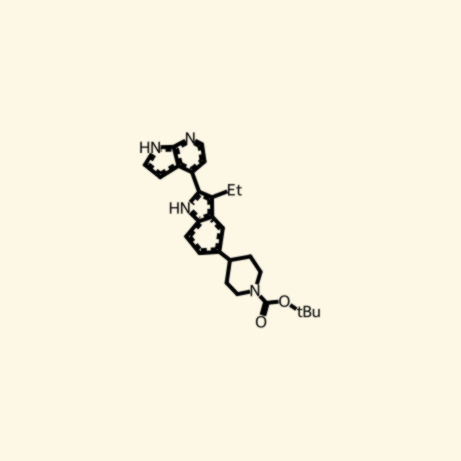 CCc1c(-c2ccnc3[nH]ccc23)[nH]c2ccc(C3CCN(C(=O)OC(C)(C)C)CC3)cc12